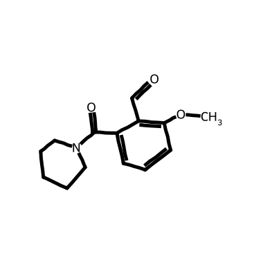 COc1cccc(C(=O)N2CCCCC2)c1C=O